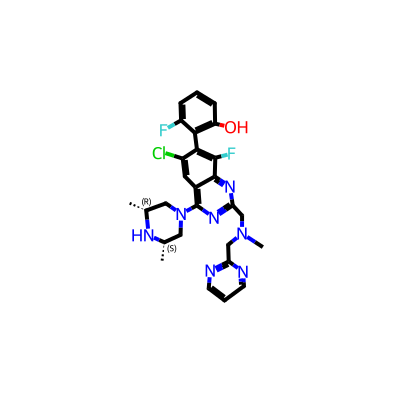 C[C@@H]1CN(c2nc(CN(C)Cc3ncccn3)nc3c(F)c(-c4c(O)cccc4F)c(Cl)cc23)C[C@H](C)N1